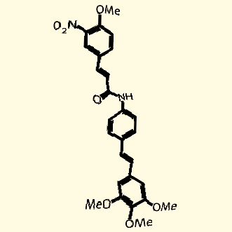 COc1ccc(/C=C/C(=O)Nc2ccc(/C=C/c3cc(OC)c(OC)c(OC)c3)cc2)cc1[N+](=O)[O-]